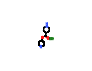 Cl.O=C(Oc1ccncc1)C1CCNCC1